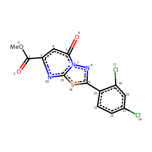 COC(=O)c1cc(=O)n2nc(-c3ccc(Cl)cc3Cl)sc2n1